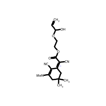 C=CC(O)OCCOC(=O)/C(C#N)=C1/CC(C)(C)CC(NC)=C1C#N